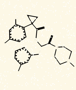 CN1CCN(C(=O)[C@H](Cc2cccc(F)c2)NC(=O)C2(c3ccc(Cl)cc3Cl)CC2)CC1